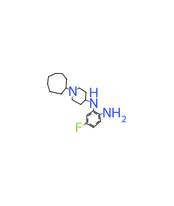 Nc1ccc(F)cc1NC1CCN(C2CCCCCCC2)CC1